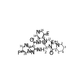 CCN1CCCCC1C(=O)N1CCN(c2c(F)cncc2NC(=O)c2c(N)nn3cc(F)cnc23)CC1